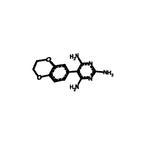 Nc1nc(N)c(-c2ccc3c(c2)OCCO3)c(N)n1